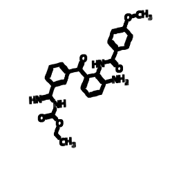 CCOC(=O)NC(=N)c1cccc(C(=O)c2cccc(N)c2NC(=O)c2ccc(OC)cc2)c1